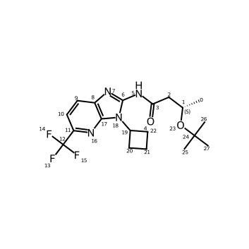 C[C@@H](CC(=O)Nc1nc2ccc(C(F)(F)F)nc2n1C1CCC1)OC(C)(C)C